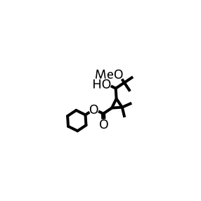 COC(C)(C)C(O)C1C(C(=O)OC2CCCCC2)C1(C)C